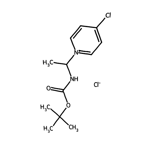 CC(NC(=O)OC(C)(C)C)[n+]1ccc(Cl)cc1.[Cl-]